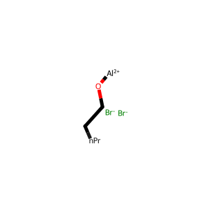 CCCCC[O][Al+2].[Br-].[Br-]